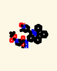 COC1(C(=O)Nc2ccc3c(c2)c(-c2cc[n+]([O-])c(C)c2)nn3C(c2ccccc2)(c2ccccc2)c2ccccc2)CCN(C(=O)OC(C)(C)C)C1